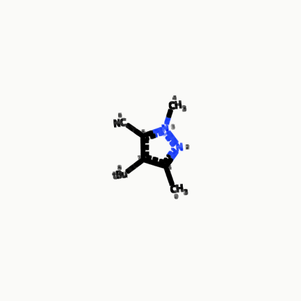 Cc1nn(C)c(C#N)c1C(C)(C)C